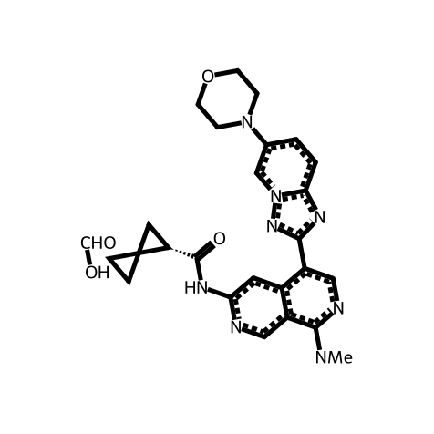 CNc1ncc(-c2nc3ccc(N4CCOCC4)cn3n2)c2cc(NC(=O)[C@H]3CC34CC4)ncc12.O=CO